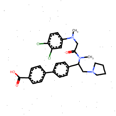 CN(CC(=O)N(C)C(CN1CCCC1)c1ccc(-c2ccc(C(=O)O)cc2)cc1)c1ccc(Cl)c(Cl)c1